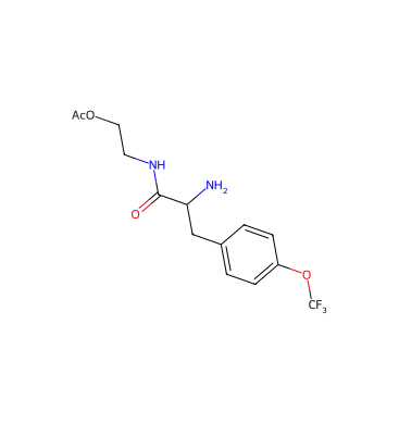 CC(=O)OCCNC(=O)C(N)Cc1ccc(OC(F)(F)F)cc1